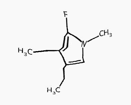 Cc1cn(C)c(F)c1C